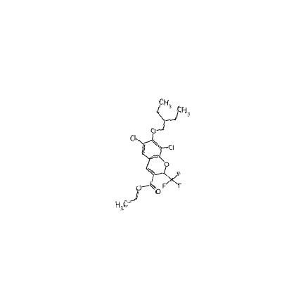 CCOC(=O)C1=Cc2cc(Cl)c(OCC(CC)CC)c(Cl)c2OC1C(F)(F)F